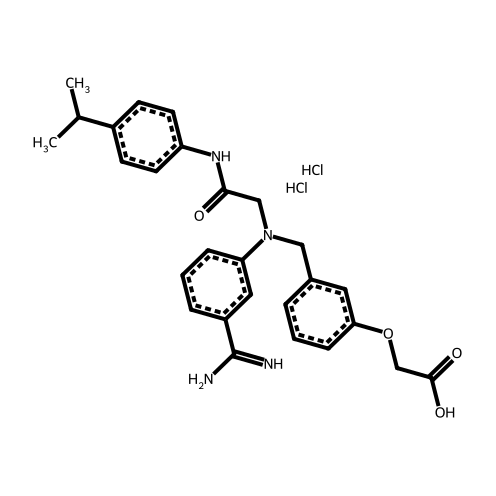 CC(C)c1ccc(NC(=O)CN(Cc2cccc(OCC(=O)O)c2)c2cccc(C(=N)N)c2)cc1.Cl.Cl